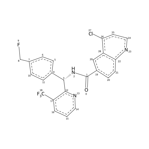 O=C(N[C@@H](c1ccc(CF)cc1)c1ncccc1C(F)(F)F)c1ccc2nccc(Cl)c2c1